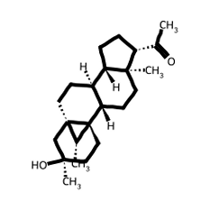 CC(=O)[C@H]1CC[C@H]2[C@@H]3CC[C@]45C[C@](C)(O)CC[C@]4([C@@H]5C)[C@H]3CC[C@]12C